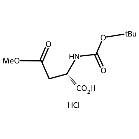 COC(=O)C[C@H](NC(=O)OC(C)(C)C)C(=O)O.Cl